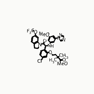 COC(=O)C(C)(C)CCOc1cc(Cl)ccc1C(Nc1cc(OC)cc(-n2cncn2)c1)C(=O)N1CCc2ccc(OC(F)(F)F)cc21